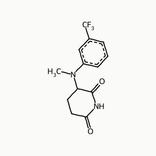 CN(c1cccc(C(F)(F)F)c1)C1CCC(=O)NC1=O